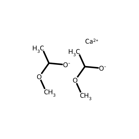 COC(C)[O-].COC(C)[O-].[Ca+2]